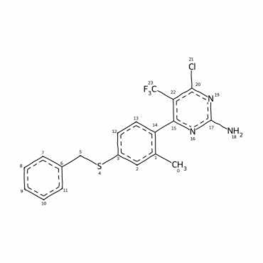 Cc1cc(SCc2ccccc2)ccc1-c1nc(N)nc(Cl)c1C(F)(F)F